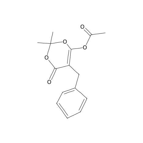 CC(=O)OC1=C(Cc2ccccc2)C(=O)OC(C)(C)O1